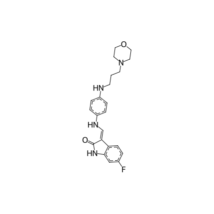 O=C1Nc2cc(F)ccc2/C1=C/Nc1ccc(NCCCN2CCOCC2)cc1